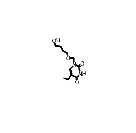 CCc1cn(COCCCCO)c(=O)[nH]c1=O